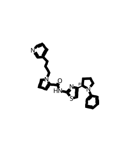 O=C(Nc1nc([C@H]2CCCN2c2ccccc2)cs1)c1cccn1CCCc1cccnc1